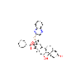 CC12C=CC(=O)C=C1CCC1C2[C@@H](O)CC2(C)C1C[C@H]1O[C@@H](C3CCCCC3)O[C@]12C(=O)CSc1cnc2ccccc2n1